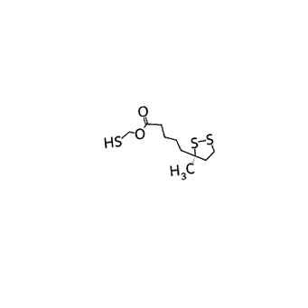 C[C@@]1(CCCCC(=O)OCS)CCSS1